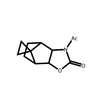 CC(=O)N1C(=O)OC2C1C1CCC2C12CC2